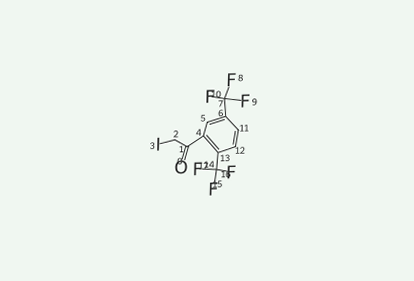 O=C(CI)c1cc(C(F)(F)F)ccc1C(F)(F)F